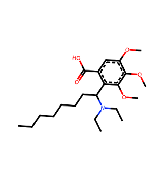 CCCCCCCC(c1c(C(=O)O)cc(OC)c(OC)c1OC)N(CC)CC